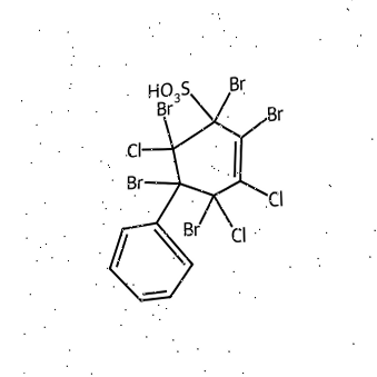 O=S(=O)(O)C1(Br)C(Br)=C(Cl)C(Cl)(Br)C(Br)(c2ccccc2)C1(Cl)Br